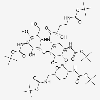 CC(C)(C)OC(=O)NCC[C@H](O)C(=O)N[C@@H]1C[C@@H](NC(=O)OC(C)(C)C)C(O[C@H]2OC(CNC(=O)OC(C)(C)C)CCC2NC(=O)OC(C)(C)C)C(O)[C@H]1O[C@H]1OC(CO)[C@@H](O)[C@H](NC(=O)OC(C)(C)C)C1O